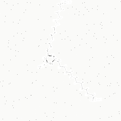 [CH2]CCc1nc(CCCCCCCCCCCCCCCCCCCCCCC)nc(CCCCCCCCCCCCCCCCCCCCCCC)n1